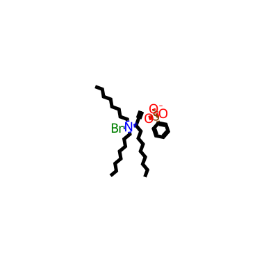 C#CC(CCCCCCCC)[N+](Br)(CCCCCCCC)CCCCCCCC.O=S(=O)([O-])c1ccccc1